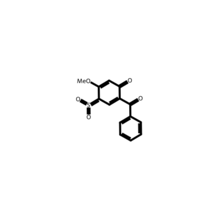 COC1=CC(=O)C(C(=O)c2ccccc2)=CC1=S(=O)=O